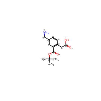 CC(C)(C)OC(=O)c1cc(CN)ccc1CC(=O)O